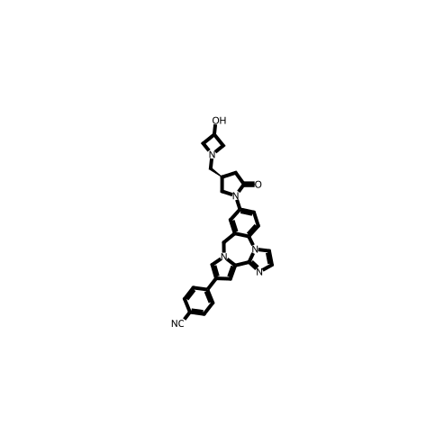 N#Cc1ccc(-c2cc3n(c2)Cc2cc(N4C[C@@H](CN5CC(O)C5)CC4=O)ccc2-n2ccnc2-3)cc1